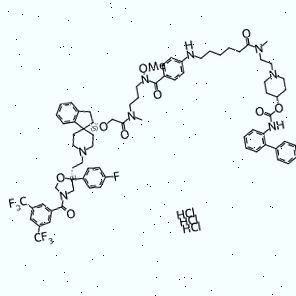 CON(CCCN(C)C(=O)CO[C@H]1Cc2ccccc2C12CCN(CC[C@]1(c3ccc(F)cc3)CN(C(=O)c3cc(C(F)(F)F)cc(C(F)(F)F)c3)CO1)CC2)C(=O)c1ccc(NCCCCCC(=O)N(C)CCN2CCC(OC(=O)Nc3ccccc3-c3ccccc3)CC2)cc1.Cl.Cl.Cl